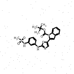 CC(C)(C)OC(=O)n1c(-c2cnc(Nc3cccc(NS(C)(=O)=O)c3)o2)cc2ccccc21